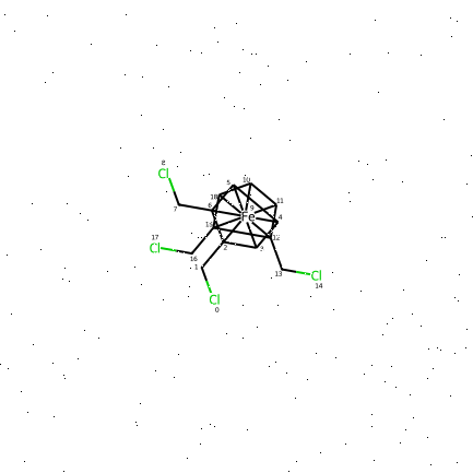 ClC[C]12[CH]3[CH]4[CH]5[C]1(CCl)[Fe]43521678[CH]2[CH]1[C]6(CCl)[C]7(CCl)[CH]28